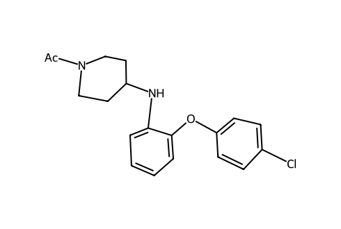 CC(=O)N1CCC(Nc2ccccc2Oc2ccc(Cl)cc2)CC1